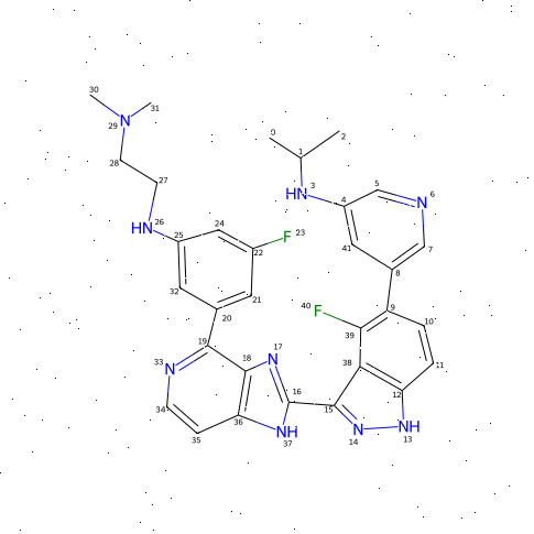 CC(C)Nc1cncc(-c2ccc3[nH]nc(-c4nc5c(-c6cc(F)cc(NCCN(C)C)c6)nccc5[nH]4)c3c2F)c1